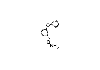 NOCc1cccc(Oc2ccccc2)c1